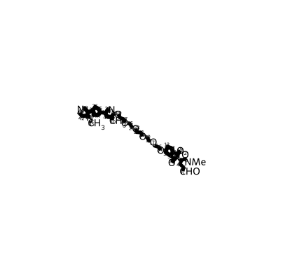 CNC(=O)C(CCC=O)N1C(=O)c2ccc(OCCOCCOCCOCCOCCOc3ncc(-c4ccc5c6cnccc6n(C)c5c4)cc3C)cc2C1=O